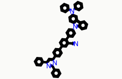 N#Cc1cc(-c2ccc(-c3cc(-c4ccccc4)nc(-c4ccccc4)n3)cc2)ccc1-c1ccc(-n2c3ccccc3c3cc(N(c4ccccc4)c4ccccc4)ccc32)cc1